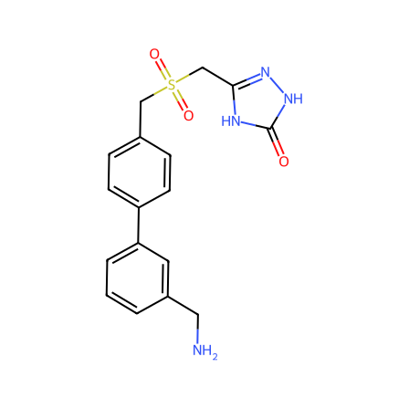 NCc1cccc(-c2ccc(CS(=O)(=O)Cc3n[nH]c(=O)[nH]3)cc2)c1